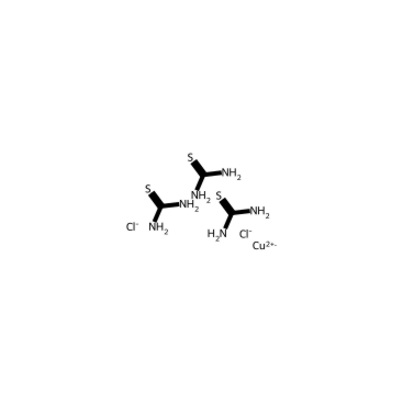 NC(N)=S.NC(N)=S.NC(N)=S.[Cl-].[Cl-].[Cu+2]